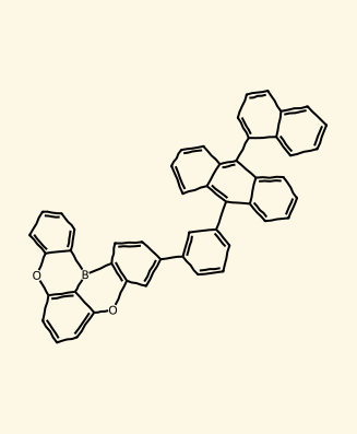 c1cc(-c2ccc3c(c2)Oc2cccc4c2B3c2ccccc2O4)cc(-c2c3ccccc3c(-c3cccc4ccccc34)c3ccccc23)c1